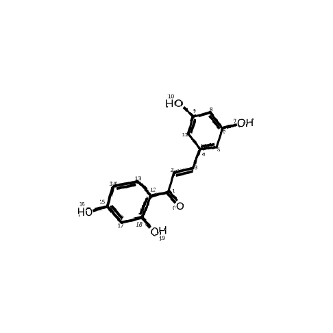 O=C(C=Cc1cc(O)cc(O)c1)c1ccc(O)cc1O